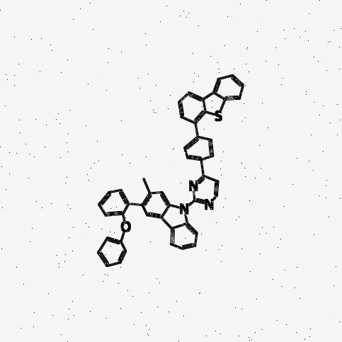 Cc1cc2c(cc1-c1ccccc1Oc1ccccc1)c1ccccc1n2-c1nccc(-c2ccc(-c3cccc4c3sc3ccccc34)cc2)n1